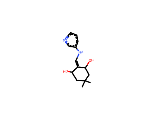 CC1(C)CC(O)C(=CNc2cccnc2)C(O)C1